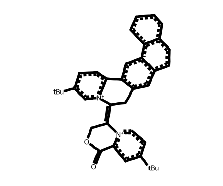 CC(C)(C)c1cc[n+]2c(c1)C(=O)OC/C2=C1/Cc2cc3ccc4ccccc4c3cc2-c2ccc(C(C)(C)C)c[n+]21